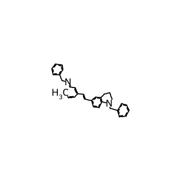 C\C=C/C(C=Cc1ccc2c(c1)CCCN2Cc1ccccc1)=C\C=N\Cc1ccccc1